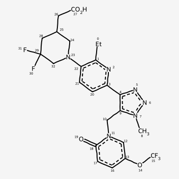 CCc1nc(-c2nnn(C)c2Cn2cc(OC(F)(F)F)ccc2=O)ccc1N1CC(CC(=O)O)CC(F)(F)C1